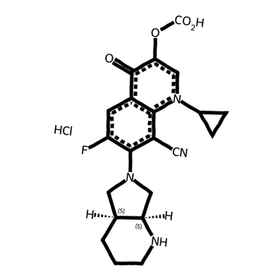 Cl.N#Cc1c(N2C[C@@H]3CCCN[C@@H]3C2)c(F)cc2c(=O)c(OC(=O)O)cn(C3CC3)c12